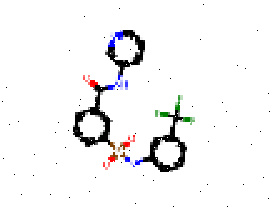 O=C(Nc1cccnc1)c1cccc(S(=O)(=O)Nc2cccc(C(F)(F)F)c2)c1